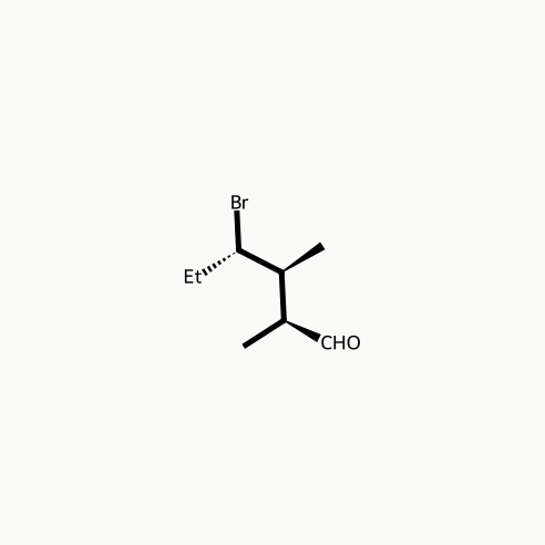 CC[C@H](Br)[C@@H](C)[C@H](C)C=O